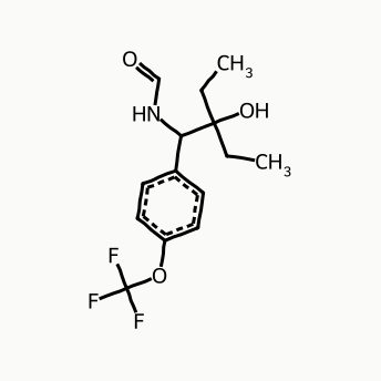 CCC(O)(CC)C(NC=O)c1ccc(OC(F)(F)F)cc1